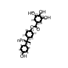 CCCC(C)(c1ccc(O)cc1)c1ccc(OC(=O)c2cc(O)c(O)c(O)c2)cc1